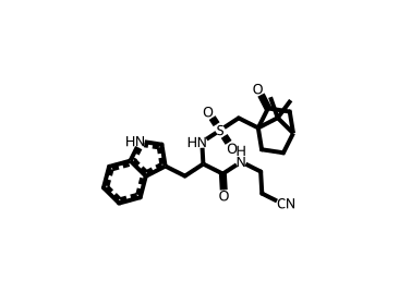 CC1(C)C2CCC1(CS(=O)(=O)NC(Cc1c[nH]c3ccccc13)C(=O)NCCC#N)C(=O)C2